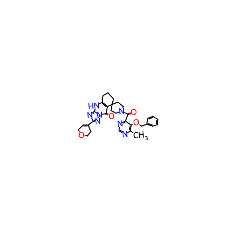 Cc1ncnc(C(=O)N2CCC3(CCCc4[nH]c5nc(C6=CCOCC6)nn5c(=O)c43)CC2)c1OCc1ccccc1